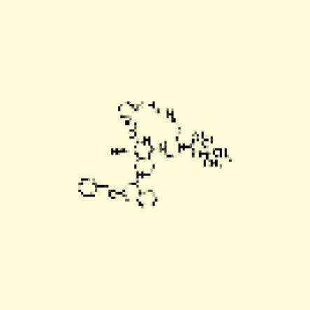 CN1CCC[C@H]1COc1nc(N2CCN(C(=O)OC(C)(C)C)C(CC#N)C2)c2c(c1C#N)CN(c1cc(OCc3ccccc3)cc3ccccc13)CC2